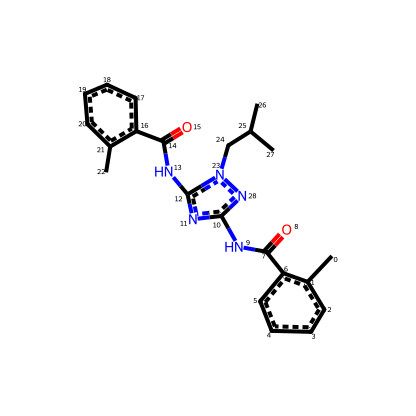 Cc1ccccc1C(=O)Nc1nc(NC(=O)c2ccccc2C)n(CC(C)C)n1